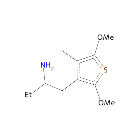 CCC(N)Cc1c(OC)sc(OC)c1C